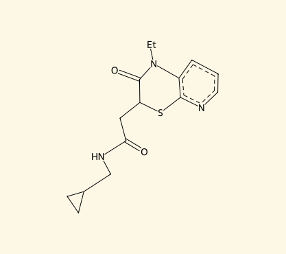 CCN1C(=O)C(CC(=O)NCC2CC2)Sc2ncccc21